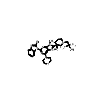 CCc1nc2ccccc2n1-c1nc(N2CCOCC2)c2nc(C3(O)CCCN(CC(C)(C)O)C3)n(C)c2n1